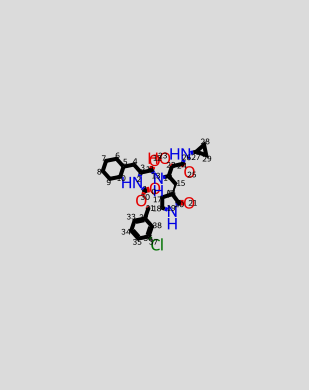 O=C(NC(CC1CCCCC1)C(=O)NC(C[C@@H]1CCNC1=O)C(O)C(=O)NC1CC1)OCc1cccc(Cl)c1